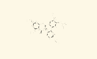 COc1cccc(-c2cc(OC(C)C)c(OC)cc2[C@H]2Cc3nc(N)nc(C)c3C(=O)N2)n1